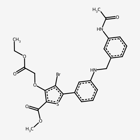 CCOC(=O)COc1c(C(=O)OC)sc(-c2cccc(NCc3cccc(NC(C)=O)c3)c2)c1Br